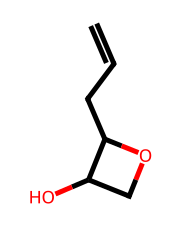 C=CCC1OCC1O